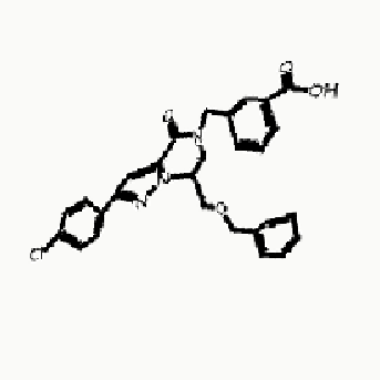 O=C(O)c1cccc(CN2CC(COCc3ccccc3)n3nc(-c4ccc(Cl)cc4)cc3C2=O)c1